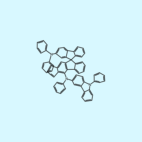 c1ccc(N(c2ccccc2)c2ccc3c(c2)C2(c4ccccc4-3)c3ccccc3-c3c2cc2ccccc2c3N(c2ccccc2)c2ccc3c(c2)c2ccccc2n3-c2ccccc2)cc1